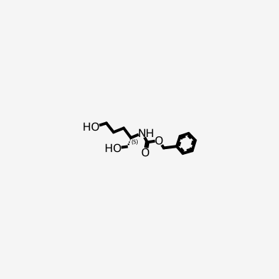 O=C(N[C@H](CO)CCCO)OCc1ccccc1